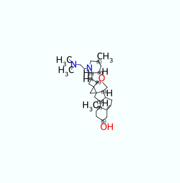 C[C@H]1C[C@H]2O[C@@]34CC[C@H]5C6CC=C7C[C@@H](O)CC[C@]7(C)[C@H]6CC56CC63C[C@@H]4[C@@H]2N(CCN(C)C)C1